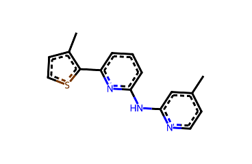 Cc1ccnc(Nc2cccc(-c3sccc3C)n2)c1